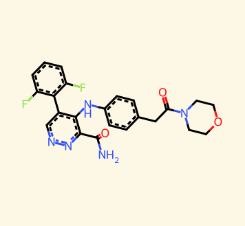 NC(=O)c1nncc(-c2c(F)cccc2F)c1Nc1ccc(CC(=O)N2CCOCC2)cc1